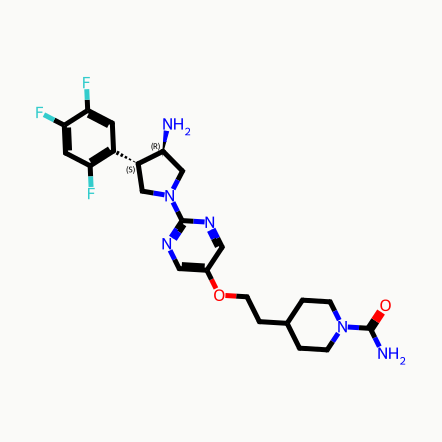 NC(=O)N1CCC(CCOc2cnc(N3C[C@H](c4cc(F)c(F)cc4F)[C@@H](N)C3)nc2)CC1